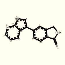 O=C1NCc2cc(-c3c[nH]c4ncccc34)ccc21